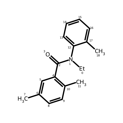 CCN(C(=O)c1cc(C)ccc1C)c1ccccc1C